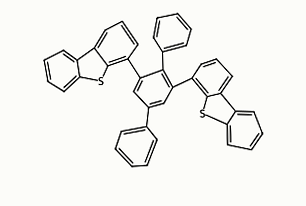 c1ccc(-c2cc(-c3cccc4c3sc3ccccc34)c(-c3ccccc3)c(-c3cccc4c3sc3ccccc34)c2)cc1